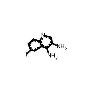 Nc1cnc2ccc(I)cc2c1N